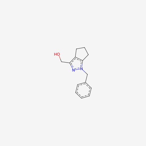 OCc1nn(Cc2ccccc2)c2c1CCC2